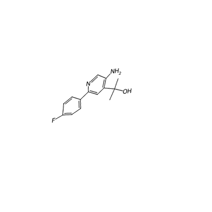 CC(C)(O)c1cc(-c2ccc(F)cc2)ncc1N